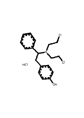 Cl.Oc1ccc(CC(c2ccccc2)N(CCCl)CCCl)cc1